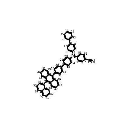 N#Cc1ccc(N(c2ccc(-c3ccccc3)cc2)c2ccc(-c3ccc(-c4c5ccccc5c(-c5cccc6ccccc56)c5ccccc45)cc3)cc2)cc1